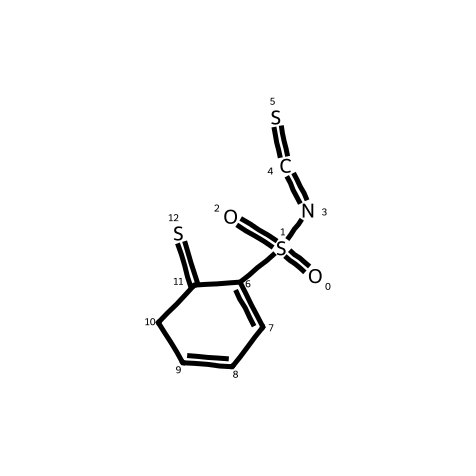 O=S(=O)(N=C=S)C1=CC=CCC1=S